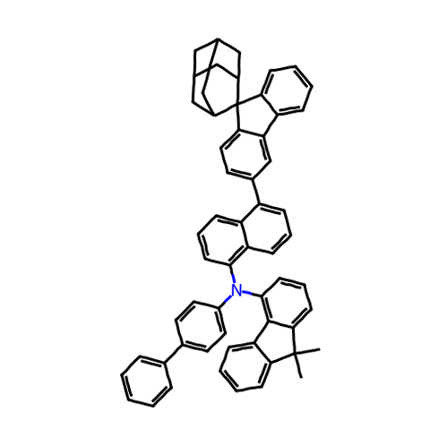 CC1(C)c2ccccc2-c2c(N(c3ccc(-c4ccccc4)cc3)c3cccc4c(-c5ccc6c(c5)-c5ccccc5C65C6CC7CC(C6)CC5C7)cccc34)cccc21